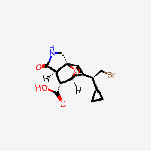 O=C(O)[C@@H]1[C@H]2C(=O)NC[C@@]23C=C([C@@H](CBr)C2CC2)[C@@H]1O3